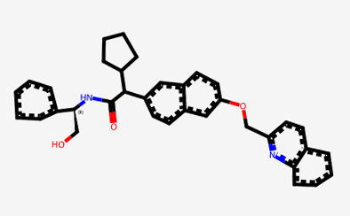 O=C(N[C@@H](CO)c1ccccc1)C(c1ccc2cc(OCc3ccc4ccccc4n3)ccc2c1)C1CCCC1